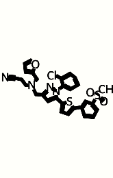 CS(=O)(=O)c1cccc(-c2ccc(-c3cc(CN(CCC#N)Cc4ccco4)nn3-c3ccccc3Cl)s2)c1